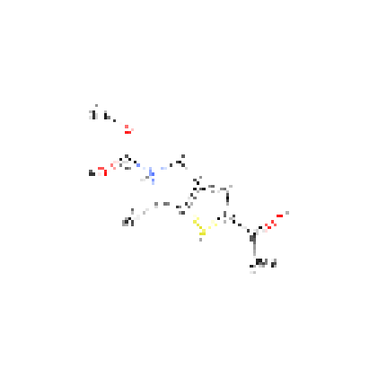 COC(=O)c1cc2c(s1)[C@H](C(C)C)N(C(=O)OC(C)(C)C)C2